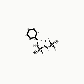 O=P(O)(O)OOP(=O)(O)NSC1CCCCC1